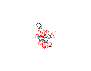 CC(=O)O[C@H]1C[C@@H](OC(=O)c2ccccc2)[C@@H]2[C@]3(OC(C)=O)CO[C@@H]3C[C@H](O)[C@@]2(C)[C@@H](O)[C@H](OC(C)=O)/C(C(C)(C)O)=C/1C